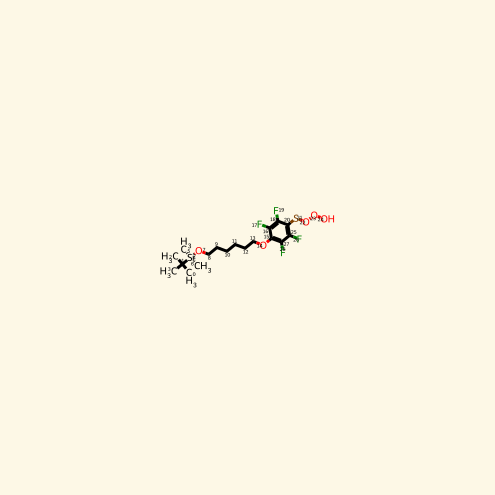 CC(C)(C)[Si](C)(C)OCCCCCCOc1c(F)c(F)c(SOOO)c(F)c1F